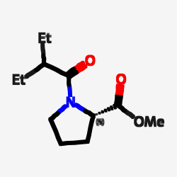 CCC(CC)C(=O)N1CCC[C@H]1C(=O)OC